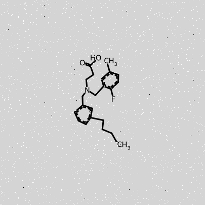 CCCCCc1cccc(CN(CCC(=O)O)Cc2cc(C)ccc2F)c1